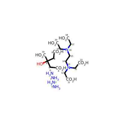 N.N.N.N.O=C(O)CC(O)(CC(=O)O)C(=O)O.O=C(O)CN(CCN(CC(=O)O)CC(=O)O)CC(=O)O